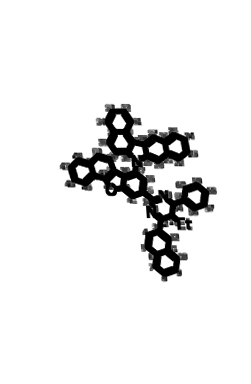 CCC1C(c2ccc3ccccc3c2)=NC(c2cc(-n3c4cc5ccccc5cc4c4c5ccccc5ccc43)c3c(c2)oc2c4ccccc4ccc23)=NC1c1ccccc1